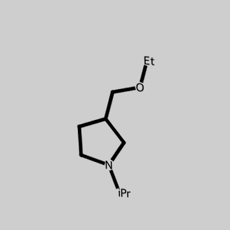 CCOCC1CCN(C(C)C)C1